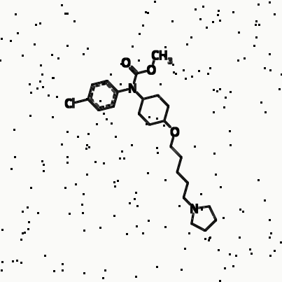 COC(=O)N(c1ccc(Cl)cc1)C1CCC(OCCCCCN2CCCC2)CC1